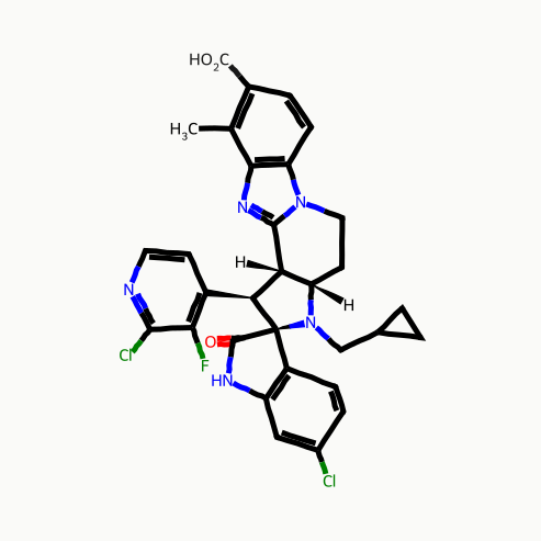 Cc1c(C(=O)O)ccc2c1nc1n2CC[C@H]2[C@@H]1[C@H](c1ccnc(Cl)c1F)[C@]1(C(=O)Nc3cc(Cl)ccc31)N2CC1CC1